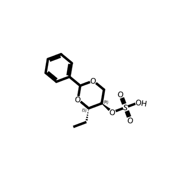 CC[C@@H]1OC(c2ccccc2)OC[C@H]1OS(=O)(=O)O